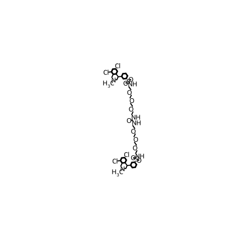 CN1Cc2c(Cl)cc(Cl)cc2C(c2cccc(S(=O)(=O)NCCOCCOCCOCCNC(=O)NCCOCCOCCOCCNS(=O)(=O)c3cccc(C4CN(C)Cc5c(Cl)cc(Cl)cc54)c3)c2)C1